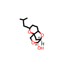 CC(C)CC1CCC2O[C@@H]3CC2(CO[C@H]3O)O1